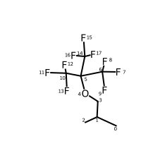 CC(C)COC(C(F)(F)F)(C(F)(F)F)C(F)(F)F